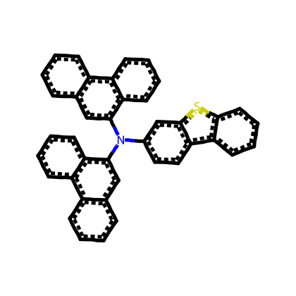 c1ccc2c(c1)cc(N(c1ccc3c(c1)sc1ccccc13)c1cc3ccccc3c3ccccc13)c1ccccc12